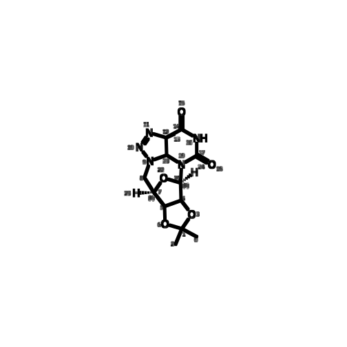 CC1(C)OC2C(O1)[C@H]1CN3N=NC4(C)C(=O)NC(=O)N(C34)[C@@H]2O1